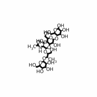 CC(=O)N[C@@H](CO)[C@@H](OC(CO)[C@H](C)O[C@@H]1OC(CO)[C@H](O)C(O)[C@@H]1O)OC1[C@@H](O)C(CO)O[C@@H](O[C@@H]2C(CO)OC(O)[C@@H](O)C2O)[C@H]1O